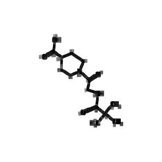 CC(C)(C)C(=O)NCC(=O)N1CCC(C(=O)O)CC1